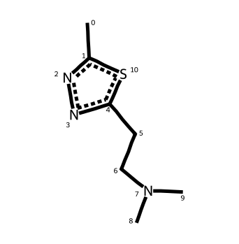 Cc1nnc(CCN(C)C)s1